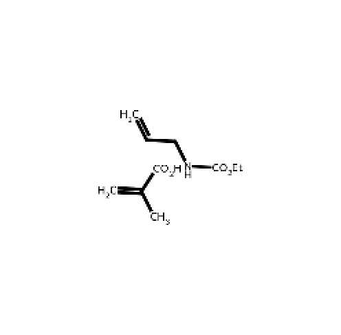 C=C(C)C(=O)O.C=CCNC(=O)OCC